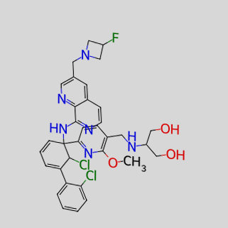 COc1nc(C2(Nc3nccc4cc(CN5CC(F)C5)cnc34)C=CC=C(c3ccccc3Cl)C2Cl)ccc1CNC(CO)CO